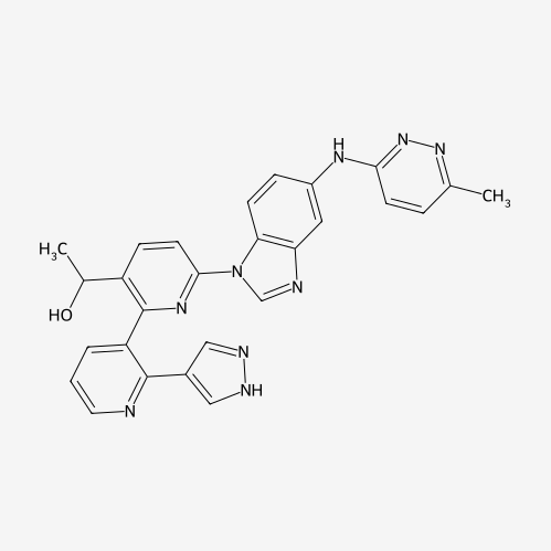 Cc1ccc(Nc2ccc3c(c2)ncn3-c2ccc(C(C)O)c(-c3cccnc3-c3cn[nH]c3)n2)nn1